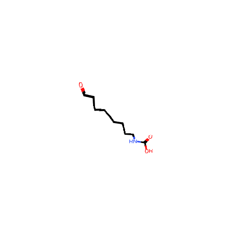 O=CCCCCCCCNC(=O)O